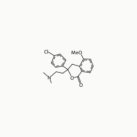 COc1cccc2c1CC(CCN(C)C)(c1ccc(Cl)cc1)OC2=O